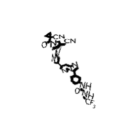 N#CCC1(n2cc(-c3cnn4c(-c5cccc(NC(=O)NCC(F)(F)F)c5)cnc4c3)cn2)CN(C(=O)C2(C#N)CC2)C1